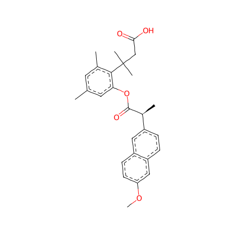 COc1ccc2cc([C@H](C)C(=O)Oc3cc(C)cc(C)c3C(C)(C)CC(=O)O)ccc2c1